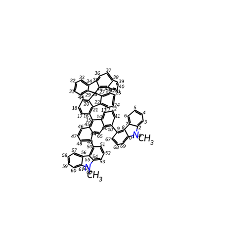 Cn1c2ccccc2c2c(-c3cccc4c(-c5cccc6c5-c5ccccc5C65c6ccccc6-c6ccc7ccccc7c65)c5cccc(-c6cccc7c6c6ccccc6n7C)c5cc34)cccc21